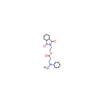 CN(CCC(=O)OCCN1C(=O)c2ccccc2C1=O)c1ccccc1